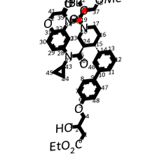 CCOC(=O)CC(O)COc1ccc(-c2cccc([C@H]3CCN(C(=O)OC(C)(C)C)C[C@@H]3C(=O)N(c3ccc4c(c3)N(CCCOC)C(=O)CO4)C3CC3)c2)cc1